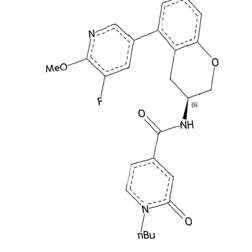 CCCCn1ccc(C(=O)N[C@@H]2COc3cccc(-c4cnc(OC)c(F)c4)c3C2)cc1=O